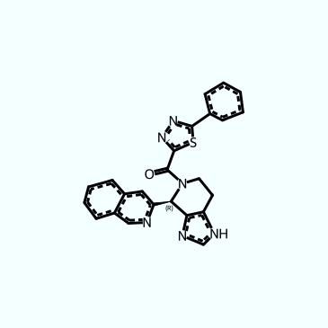 O=C(c1nnc(-c2ccccc2)s1)N1CCc2[nH]cnc2[C@H]1c1cc2ccccc2cn1